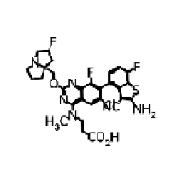 CN(CCC(=O)O)c1nc(OC[C@@]23CCCN2C[C@H](F)C3)nc2c(F)c(-c3ccc(F)c4sc(N)c(C#N)c34)c(Cl)cc12